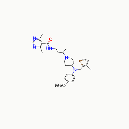 COc1ccc(N(Cc2sccc2C)C2CCN(C(C)CCNC(=O)c3c(C)ncnc3C)CC2)cc1